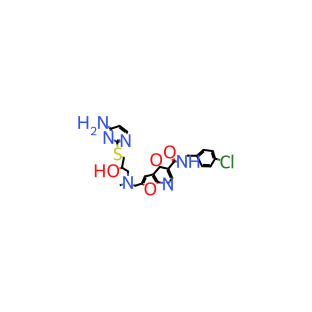 CN(Cc1cc2c(=O)c(C(=O)NCc3ccc(Cl)cc3)cn(C)c2o1)CC(O)CSc1nccc(N)n1